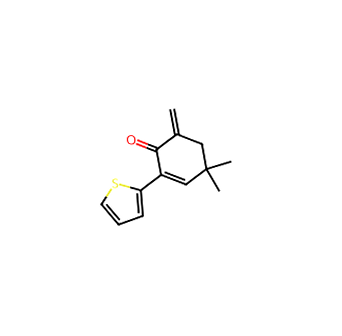 C=C1CC(C)(C)C=C(c2cccs2)C1=O